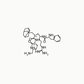 N=C(N)NCCCC(C[C@H](CC12CC3CC(CC(C3)C1)C2)C(=O)N[C@@H](CCCCN)C(N)=O)NC(=O)C(N)Cc1ccccc1